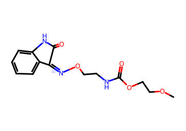 COCCOC(=O)NCCO/N=C1\C(=O)Nc2ccccc21